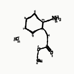 CC(C)(C)OC(=O)CC1CCCCC1N.Cl